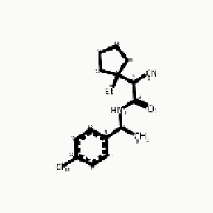 CCC1(C(C#N)C(=O)NC(C)c2ccc(Cl)cc2)CCCC1